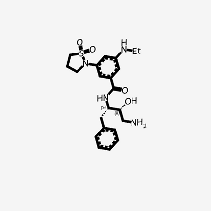 CCNc1cc(C(=O)N[C@@H](Cc2ccccc2)[C@H](O)CN)cc(N2CCCS2(=O)=O)c1